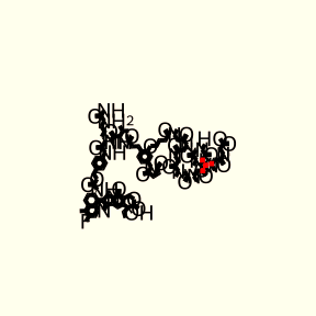 CC[C@@]1(O)C(=O)OCc2c1cc1n(c2=O)Cc2c-1nc1cc(F)c(C)c3c1c2[C@@H](NC(=O)OCc1ccc(NC(=O)[C@H](CCCNC(N)=O)NC(=O)[C@@H](NC(=O)CCc2ccc(N4C(=O)C=CC4=O)cc2OCCCC(=O)N(C)CC(=O)N(C)CC(=O)N(C)CC(=O)N(C)CC(=O)N(C)CC(=O)N(C)CC(=O)N(C)CC(=O)N(C)CC(=O)N(C)CC(=O)N(C)CC(=O)O)C(C)C)cc1)CC3